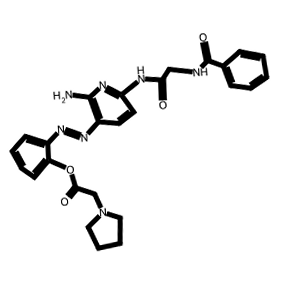 Nc1nc(NC(=O)CNC(=O)c2ccccc2)ccc1/N=N/c1ccccc1OC(=O)CN1CCCC1